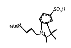 CNCCC[N+]1=C(C)C(C)(C)c2cc(S(=O)(=O)O)ccc21